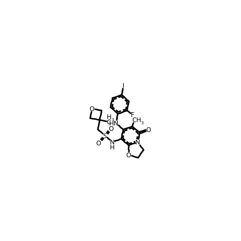 Cc1c(Nc2ccc(I)cc2F)c(NS(=O)(=O)CC2(C)COC2)c2n(c1=O)CCO2